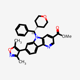 COC(=O)c1cnc2c3ccc(-c4c(C)noc4C)cc3n([C@H](c3ccccc3)C3CCOCC3)c2c1